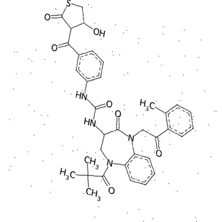 Cc1ccccc1C(=O)CN1C(=O)C(NC(=O)Nc2cccc(C(=O)C3C(=O)SCC3O)c2)CN(C(=O)C(C)(C)C)c2ccccc21